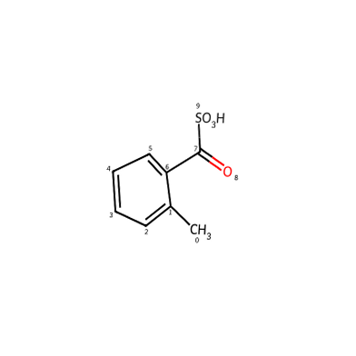 Cc1ccccc1C(=O)S(=O)(=O)O